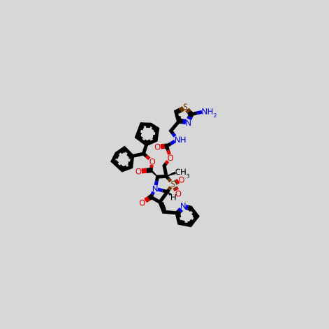 C[C@]1(COC(=O)NCc2csc(N)n2)[C@H](C(=O)OC(c2ccccc2)c2ccccc2)N2C(=O)/C(=C/c3ccccn3)[C@H]2S1(=O)=O